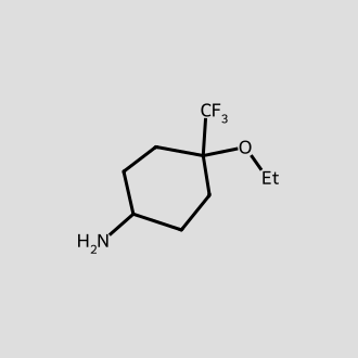 CCOC1(C(F)(F)F)CCC(N)CC1